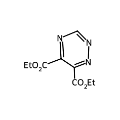 CCOC(=O)c1ncnnc1C(=O)OCC